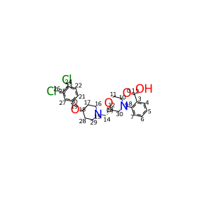 O=C(O)c1ccccc1N1CCO[C@@H](CN2CCC(Oc3ccc(Cl)c(Cl)c3)CC2)C1